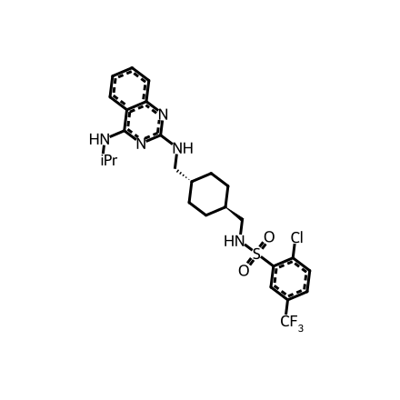 CC(C)Nc1nc(NC[C@H]2CC[C@H](CNS(=O)(=O)c3cc(C(F)(F)F)ccc3Cl)CC2)nc2ccccc12